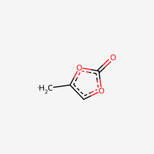 [CH2]c1coc(=O)o1